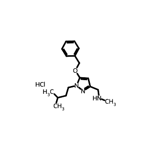 CNCc1cc(OCc2ccccc2)n(CCC(C)C)n1.Cl